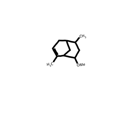 COC1CC(C)C2CC=C(C)C1C2